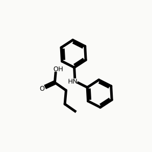 CCCC(=O)O.c1ccc(Nc2ccccc2)cc1